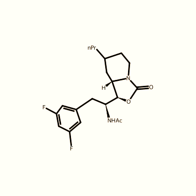 CCCC1CCN2C(=O)O[C@@H]([C@H](Cc3cc(F)cc(F)c3)NC(C)=O)[C@@H]2C1